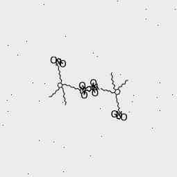 CCCCCCCCC1C(CCCCCC)CCC(CCCCCCCCN2C(=O)C=CC2=O)C1CCCCCCCCn1c(=O)c2cc3c(=O)n(CCCCCCCCC4C(CCCCCCCCN5C(=O)C=CC5=O)CCC(CCCCCC)C4CCCCCCCC)c(=O)c3cc2c1=O